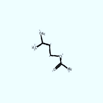 CC(=O)OC(C)CCOC(=O)C(C)(C)C